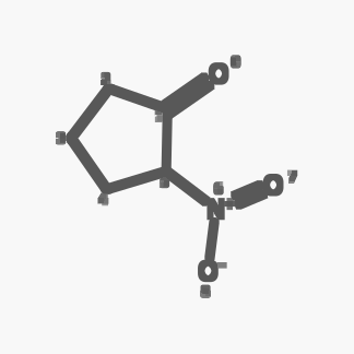 O=C1CCCC1[N+](=O)[O-]